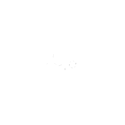 C=CCN(C=CC(=O)c1ccc(C)cc1)CC=C